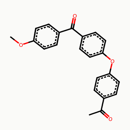 COc1ccc(C(=O)c2ccc(Oc3ccc(C(C)=O)cc3)cc2)cc1